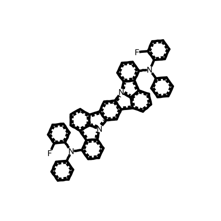 Fc1ccccc1N(c1ccccc1)c1cccc2c1c1cccc3c4cc5c(cc4n2c31)c1cccc2c3c(N(c4ccccc4)c4ccccc4F)cccc3n5c12